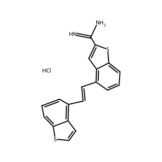 Cl.N=C(N)c1cc2c(C=Cc3cccc4sccc34)cccc2s1